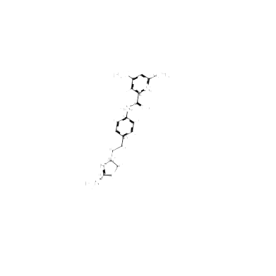 Cc1cc(C)nc(C(=O)Nc2ccc(CC[C@H]3COC(N)=N3)cc2)c1